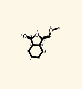 COC=C1OC(=O)C2CCCCC12